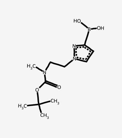 CN(CCn1ccc(B(O)O)n1)C(=O)OC(C)(C)C